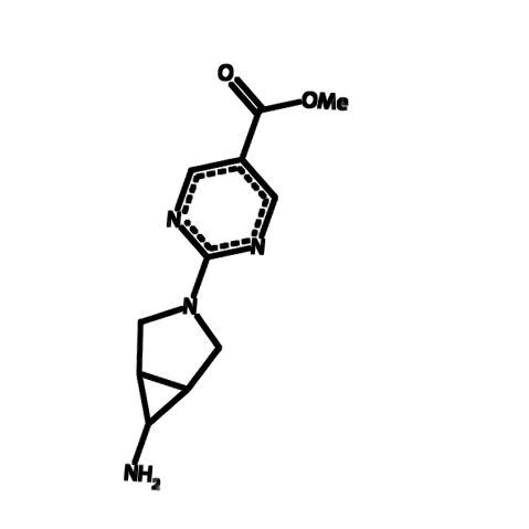 COC(=O)c1cnc(N2CC3C(N)C3C2)nc1